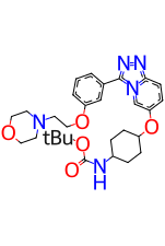 CC(C)(C)OC(=O)NC1CCC(Oc2ccc3nnc(-c4cccc(OCCN5CCOCC5)c4)n3c2)CC1